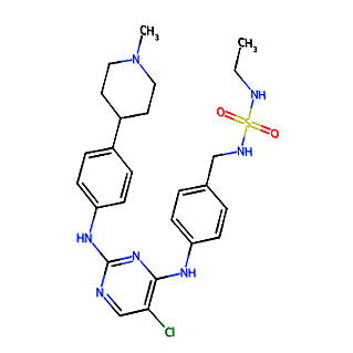 CCNS(=O)(=O)NCc1ccc(Nc2nc(Nc3ccc(C4CCN(C)CC4)cc3)ncc2Cl)cc1